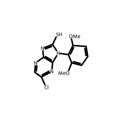 COc1cccc(OC)c1-n1c(S)nc2ncc(Cl)nc21